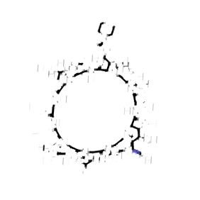 C/C=C/C[C@@H](C)[C@@H](O)[C@H]1C(=O)N[C@@H](CC)C(=O)N(C)[C@H](C)C(=O)N(C)[C@@H]([C@H](C)COC(=O)N2CCOCC2)C(=O)N[C@@H](C(C)C)C(=O)N(C)[C@@H](CC(C)C)C(=O)N[C@@H](C)C(=O)N[C@H](C)C(=O)N(C)[C@@H](CC(C)C)C(=O)N(C)[C@@H](CC(C)C)C(=O)N(C)[C@@H](C(C)C)C(=O)N1C